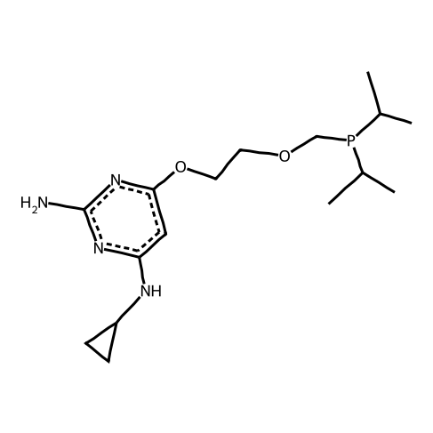 CC(C)P(COCCOc1cc(NC2CC2)nc(N)n1)C(C)C